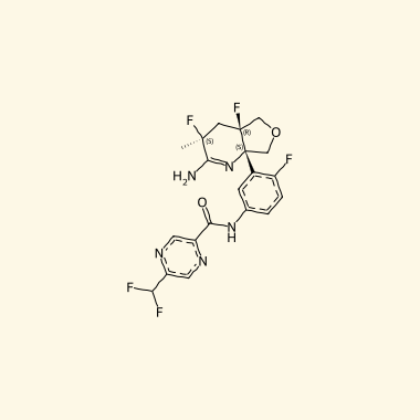 C[C@]1(F)C[C@]2(F)COC[C@]2(c2cc(NC(=O)c3cnc(C(F)F)cn3)ccc2F)N=C1N